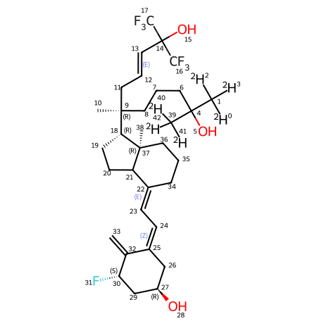 [2H]C([2H])([2H])C(O)(CCC[C@](C)(C/C=C/C(O)(C(F)(F)F)C(F)(F)F)[C@H]1CCC2/C(=C/C=C3/C[C@@H](O)C[C@H](F)C3=C)CCC[C@@]21C)C([2H])([2H])[2H]